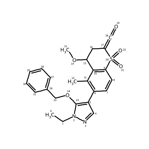 CCn1ncc(-c2ccc3c(c2C)C(OC)CC(=C=O)S3(=O)=O)c1OCc1ccccc1